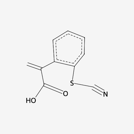 C=C(C(=O)O)c1ccccc1SC#N